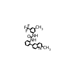 Cc1cc(NC(=O)Nc2ccccc2-c2ccc3nc(C)ccc3c2)cc(C(F)(F)F)c1